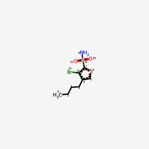 CCCCc1csc(S(N)(=O)=O)c1Br